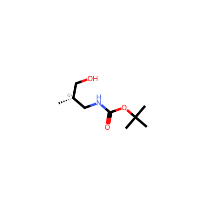 C[C@H](CO)CNC(=O)OC(C)(C)C